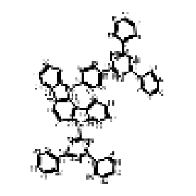 c1ccc(-c2nc(-c3ccccc3)nc(-c3ccc(-n4c5ccccc5c5ccc6c(c7ccccc7n6-c6nc(-c7ccccc7)nc(-c7ccccc7)n6)c54)cc3)n2)cc1